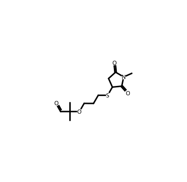 CN1C(=O)CC(SCCCOC(C)(C)C=O)C1=O